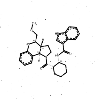 COC[C@@H]1Nc2ccccc2[C@H]2[C@H]1CCN2C(=O)[C@H]1CCCC[C@H]1NC(=O)c1c[nH]c2ccccc12